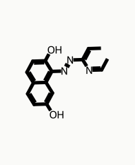 C\C=N/C(=C\C)/N=N/c1c(O)ccc2ccc(O)cc12